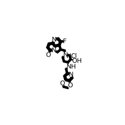 Cl.O=c1ccc2ncc(F)c3c2n1CC3CN1CC[C@H](NCc2cc3c(cn2)OCCO3)[C@H](O)C1